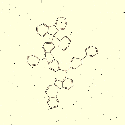 c1ccc(-c2ccc(N(c3ccc4c(c3)c3cc(C5(c6ccccc6)c6ccccc6-c6ccccc65)ccc3n4-c3ccccc3)c3cccc4c3oc3ccc5ccccc5c34)cc2)cc1